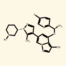 CC(=O)N1CCC[C@H](n2ncc(-c3cc(O[C@H](C)c4ccc(F)cn4)c4c(C#N)cnn4c3)c2C)C1